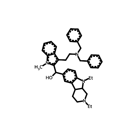 CCN1CCC2c3cc(C(O)c4c(CCN(Cc5ccccc5)Cc5ccccc5)c5ccccc5n4C)ccc3N(CC)C2C1